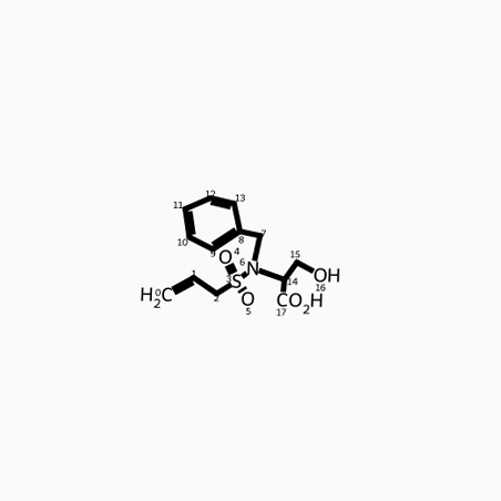 C=CCS(=O)(=O)N(Cc1ccccc1)C(CO)C(=O)O